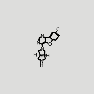 Clc1ccc2oc3c(N4C[C@H]5CNC[C@H]5C4)ncnc3c2c1